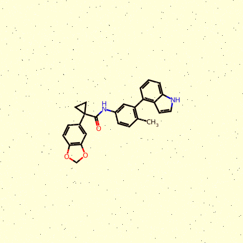 Cc1ccc(NC(=O)C2(c3ccc4c(c3)OCO4)CC2)cc1-c1cccc2[nH]ccc12